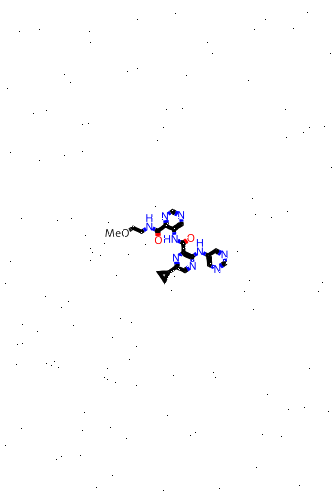 COCCNC(=O)c1ncncc1NC(=O)c1nc(C2CC2)cnc1Nc1cncnc1